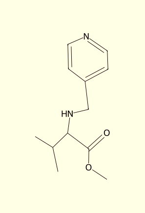 COC(=O)C(NCc1ccncc1)C(C)C